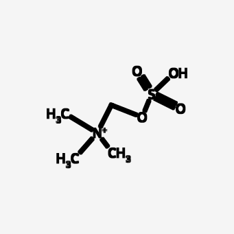 C[N+](C)(C)COS(=O)(=O)O